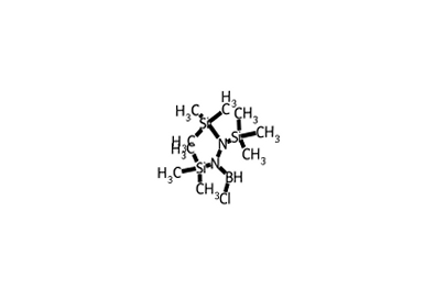 C[Si](C)(C)N(BCl)N([Si](C)(C)C)[Si](C)(C)C